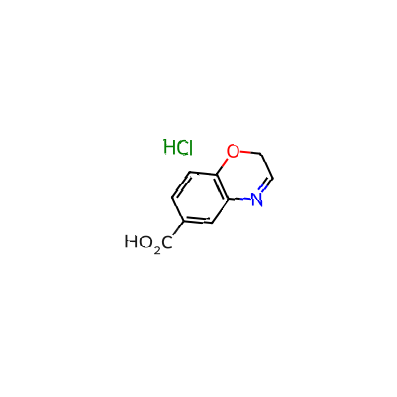 Cl.O=C(O)c1ccc2c(c1)N=CCO2